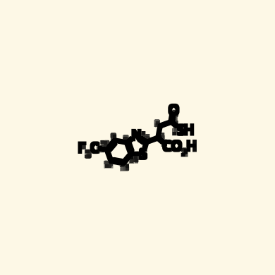 O=C(S)CC(C(=O)O)c1nc2cc(C(F)(F)F)ccc2s1